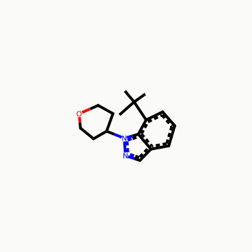 CC(C)(C)c1cccc2cnn(C3CCOCC3)c12